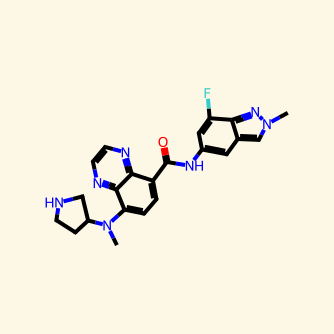 CN(c1ccc(C(=O)Nc2cc(F)c3nn(C)cc3c2)c2nccnc12)C1CCNC1